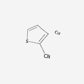 N#Cc1cccs1.[Cu]